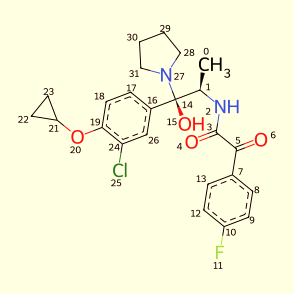 C[C@@H](NC(=O)C(=O)c1ccc(F)cc1)[C@](O)(c1ccc(OC2CC2)c(Cl)c1)N1CCCC1